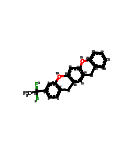 FC(F)(F)C(F)(F)c1ccc2c(c1)Oc1cc3c(cc1C2)Cc1ccccc1O3